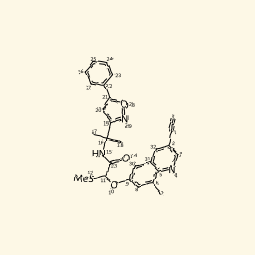 C#Cc1cnc2c(C)cc(OC(SC)C(=O)NC(C)(C)c3cc(-c4ccccc4)on3)cc2c1